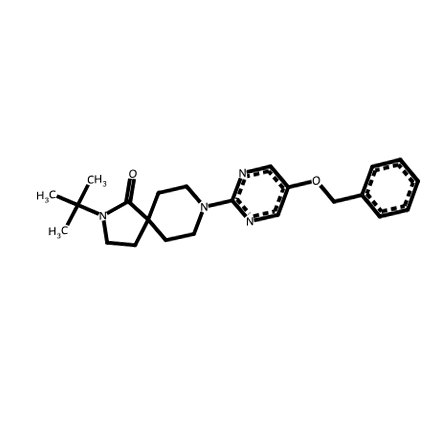 CC(C)(C)N1CCC2(CCN(c3ncc(OCc4ccccc4)cn3)CC2)C1=O